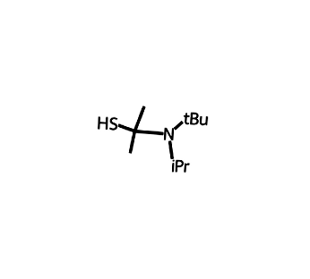 CC(C)N(C(C)(C)C)C(C)(C)S